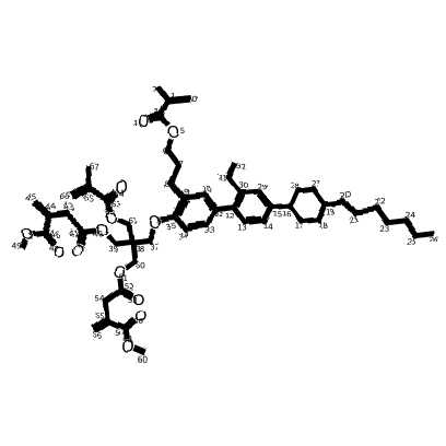 C=C(C)C(=O)OCCCc1cc(-c2ccc(C3CCC(CCCCCCC)CC3)cc2CC)ccc1OCC(COC(=O)CC(=C)C(=O)OC)(COC(=O)CC(=C)C(=O)OC)COC(=O)C(=C)C